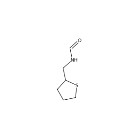 O=CNCC1CCCS1